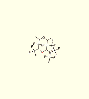 CC(OC(C)C(F)(C(F)N(C(F)(F)F)C(F)(F)F)C(F)(F)F)C(F)(F)C(F)C(F)(F)F